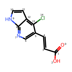 O=C(O)/C=C/c1cnc2[nH]ccc2c1Cl